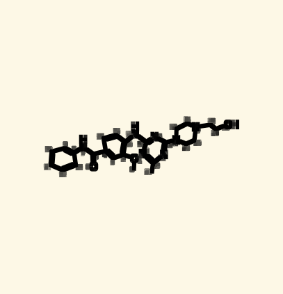 COc1cc(C(=O)Nc2ccccc2)ccc1Nc1nc(C)nc(N2CCN(CCO)CC2)n1